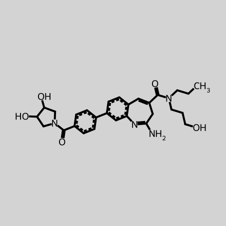 CCCN(CCCO)C(=O)C1=Cc2ccc(-c3ccc(C(=O)N4CC(O)C(O)C4)cc3)cc2N=C(N)C1